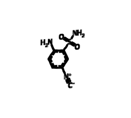 [C-]#[N+]c1ccc(N)c(S(N)(=O)=O)c1